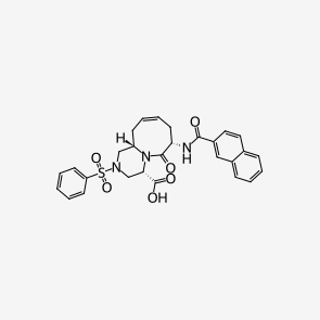 O=C(N[C@H]1C/C=C\C[C@H]2CN(S(=O)(=O)c3ccccc3)C[C@@H](C(=O)O)N2C1=O)c1ccc2ccccc2c1